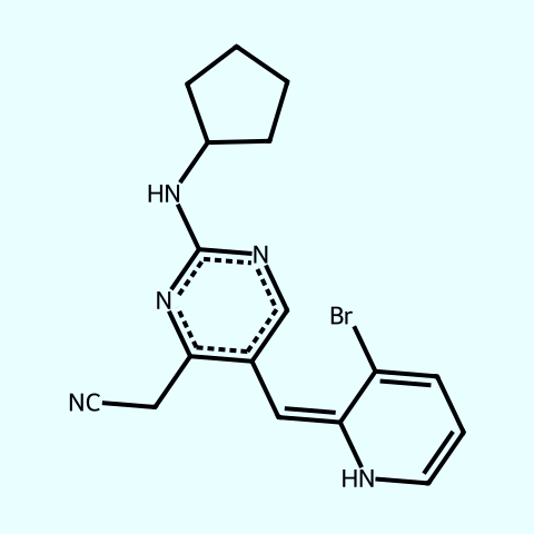 N#CCc1nc(NC2CCCC2)ncc1C=C1NC=CC=C1Br